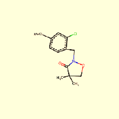 COc1ccc(CN2OCC(C)(C)C2=O)c(Cl)c1